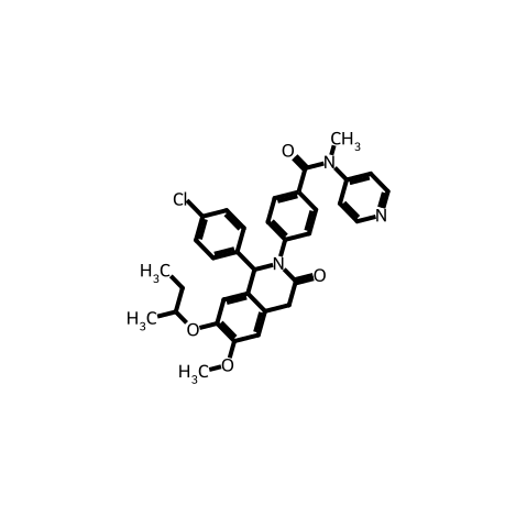 CCC(C)Oc1cc2c(cc1OC)CC(=O)N(c1ccc(C(=O)N(C)c3ccncc3)cc1)C2c1ccc(Cl)cc1